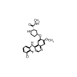 CNC(=O)[C@@H]1C[C@@H](Oc2cc3c(Nc4cccc(Cl)c4F)ncnc3cc2OC)CCN1